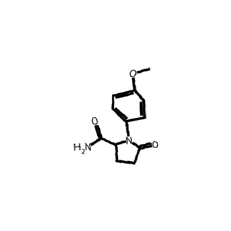 COc1ccc(N2C(=O)CCC2C(N)=O)cc1